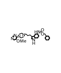 COc1cncnc1N1CCN(CCCc2c[nH]c3ccc(NC(=O)OCc4ccccc4)cc23)CC1